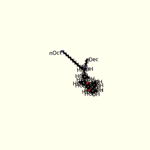 CCCCCCCC/C=C\CCCCCCCCCCCCCCCC(=O)N[C@@H](CO[C@@H]1OC(CO)[C@@H](O[C@@H]2OC(CO)[C@H](O)[C@H](O[C@@H]3OC(CO)[C@@H](O[C@@H]4OC(CO)[C@H](O)[C@H](O)C4O)[C@H](O[C@H]4OC(C)[C@@H](O)C(O)[C@@H]4O)C3NC(C)=O)C2O)[C@H](O)C1O)[C@H](O)/C=C/CCCCCCCCCCCCC